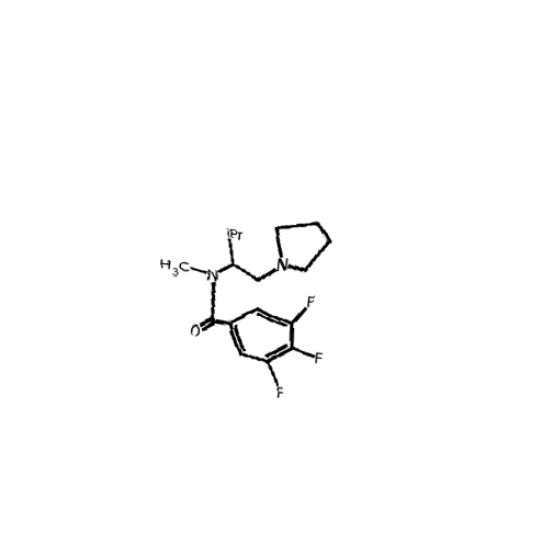 CC(C)C(CN1CCCC1)N(C)C(=O)c1cc(F)c(F)c(F)c1